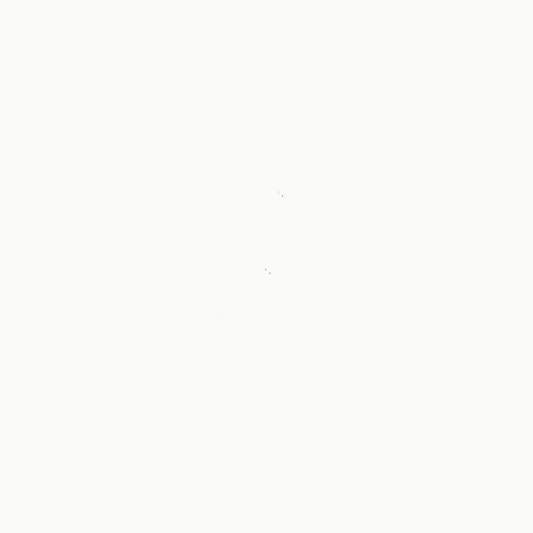 N#Cc1c(SCl)cn(-c2c(Cl)cc(C(F)(F)F)cc2Cl)c1Cl